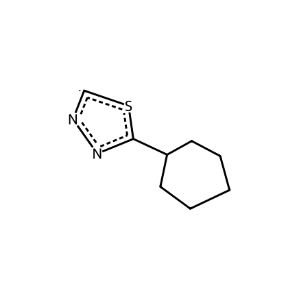 [c]1nnc(C2CCCCC2)s1